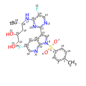 Cc1ccc(S(=O)(=O)n2cc(-c3ncc(F)c(N[C@H](CC(O)CO)C(C)(C)C)n3)c3cc(F)cnc32)cc1